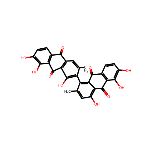 Cc1cc2c(c(O)c1-c1c(C)cc(O)c3c1C(=O)c1ccc(O)c(O)c1C3=O)C(=O)c1c(ccc(O)c1O)C2=O